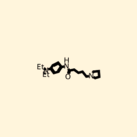 CCN(CC)c1ccc(NC(=O)CCCCN2CCCC2)cc1